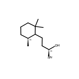 CCC[C@H](O)CCC1[C@@H](C)CCCC1(C)C